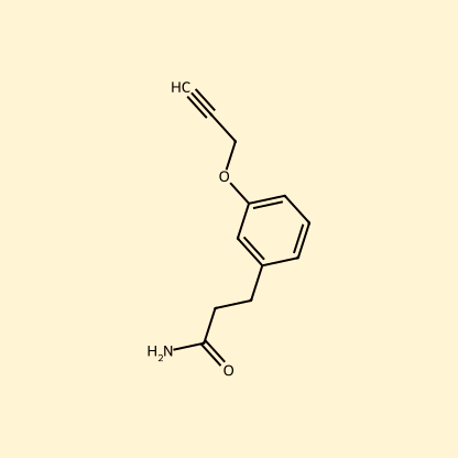 C#CCOc1cccc(CCC(N)=O)c1